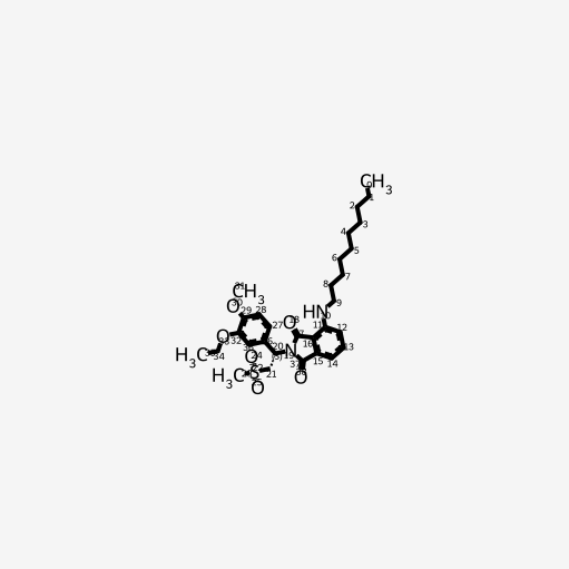 CCCCCCCCCCNc1cccc2c1C(=O)N([C@H](CS(C)(=O)=O)c1ccc(OC)c(OCC)c1)C2=O